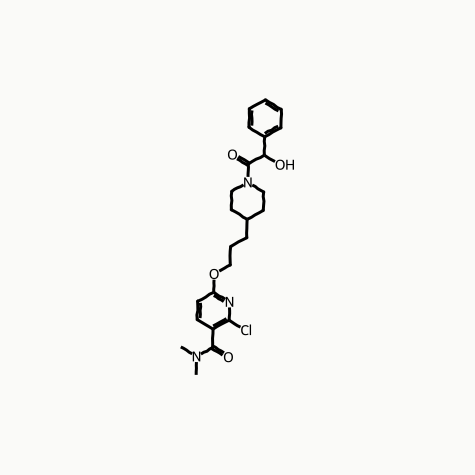 CN(C)C(=O)c1ccc(OCCCC2CCN(C(=O)C(O)c3ccccc3)CC2)nc1Cl